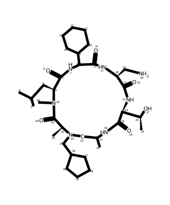 CC(C)C[C@H]1C(=O)NC(C2CCCCC2)C(=O)N[C@@H](CN)C(=O)N[C@@H]([C@H](C)O)C(=O)NC(C)CN(CC2CCCC2)[C@@H](C)C(=O)N1C